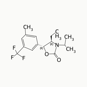 CC[C@@H]1[C@@H](c2cc(C)cc(C(F)(F)F)c2)OC(=O)N1C(C)C